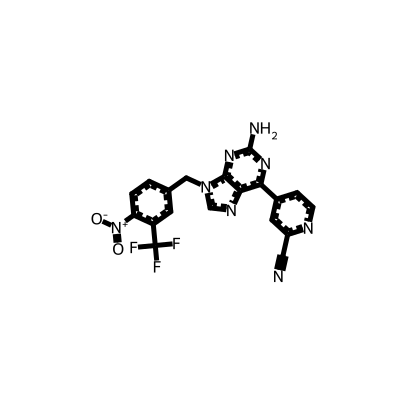 N#Cc1cc(-c2nc(N)nc3c2ncn3Cc2ccc([N+](=O)[O-])c(C(F)(F)F)c2)ccn1